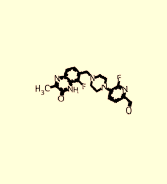 Cc1nc2ccc(CN3CCN(c4ccc(C=O)nc4F)CC3)c(F)c2[nH]c1=O